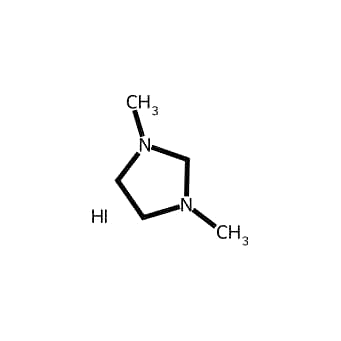 CN1CCN(C)C1.I